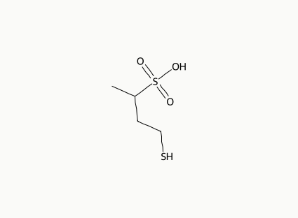 CC(CCS)S(=O)(=O)O